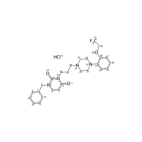 Cl.O=c1ccn(Cc2ccccc2)c(=O)n1CCCN1CCN(c2ccccc2OCC(F)(F)F)CC1